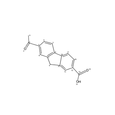 CC(=O)c1ccc2c(c1)Cc1cc(C(=O)O)ccc1-2